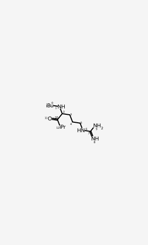 CCC(C)NC(CCCNC(=N)N)C(=O)C(C)C